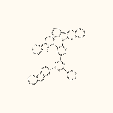 c1ccc(-c2nc(-c3ccc(-n4c5ccccc5c5cc6ccccc6cc54)c(-c4cccc5c4sc4ccccc45)c3)nc(-c3ccc4c(c3)sc3ccccc34)n2)cc1